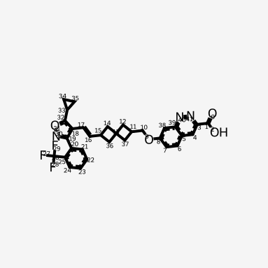 O=C(O)c1cc2ccc(OCC3CC4(CC(C=Cc5c(-c6ccccc6C(F)(F)F)noc5C5CC5)C4)C3)cc2nn1